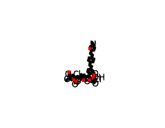 COc1cc(COc2cc3oc4cc(=O)c(Cl)cc-4c(-c4ccc(/C=C/c5ccc(/C=C/c6ccc(N(C)C)cc6)cc5)cc4S(=O)(=O)O)c3cc2Cl)c([N+](=O)[O-])cc1OC